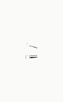 N=O.N[O]